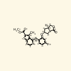 COC(=O)c1sc2ncnc(Nc3ccc(F)cc3O[C@H]3C[C@H]4COC(=O)N4C3)c2c1C